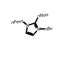 CCCCCCCCCc1n(CCCCC)cc[n+]1CCCC